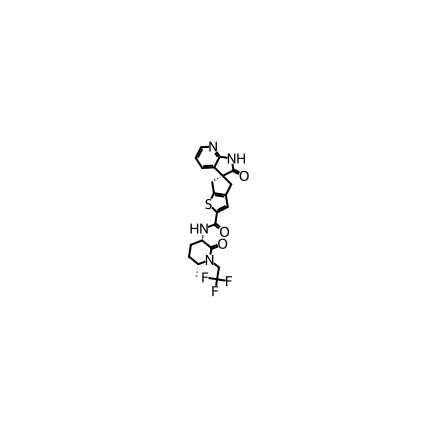 C[C@@H]1CC[C@H](NC(=O)c2cc3c(s2)C[C@@]2(C3)C(=O)Nc3ncccc32)C(=O)N1CC(F)(F)F